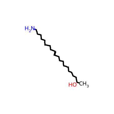 CC(O)CCCCCCCCCC=CCCCCCCCCN